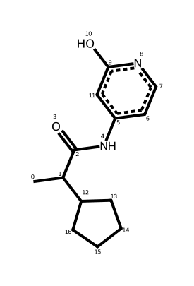 CC(C(=O)Nc1ccnc(O)c1)C1CCCC1